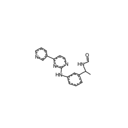 CC(NC=O)c1cccc(Nc2nccc(-c3cccnc3)n2)c1